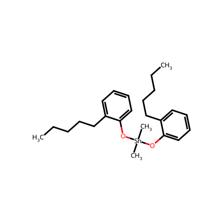 CCCCCc1ccccc1[O][Sn]([CH3])([CH3])[O]c1ccccc1CCCCC